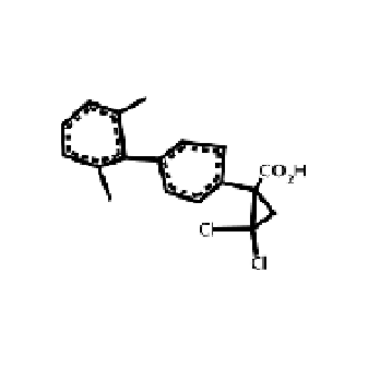 Cc1cccc(C)c1-c1ccc(C2(C(=O)O)CC2(Cl)Cl)cc1